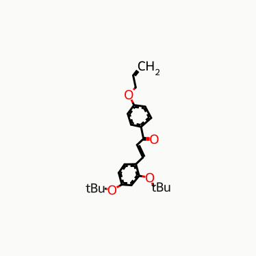 C=CCOc1ccc(C(=O)/C=C/c2ccc(OC(C)(C)C)cc2OC(C)(C)C)cc1